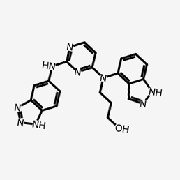 OCCCN(c1ccnc(Nc2ccc3[nH]nnc3c2)n1)c1cccc2[nH]ncc12